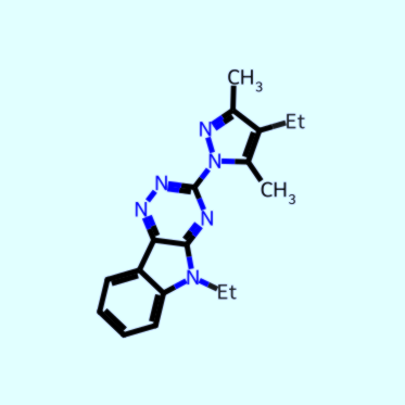 CCc1c(C)nn(-c2nnc3c4ccccc4n(CC)c3n2)c1C